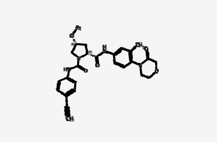 C#Cc1ccc(NC(=O)N2C[C@H](OCC)C[C@@H]2C(=O)Nc2ccc(N3CCOCC3=O)c(C)c2)cc1